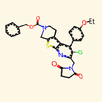 CCOc1ccc(-c2c(Cl)c(CN3C(=O)CCC3=O)nc3sc4c(c23)CCN(C(=O)OCc2ccccc2)C4)cc1